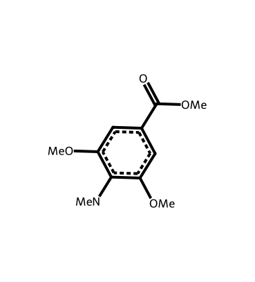 CNc1c(OC)cc(C(=O)OC)cc1OC